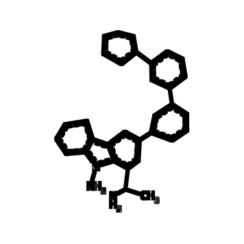 CC(N)c1cc(-c2cccc(-c3cccc(-c4ccccc4)c3)c2)cc2c3ccccc3n(N)c12